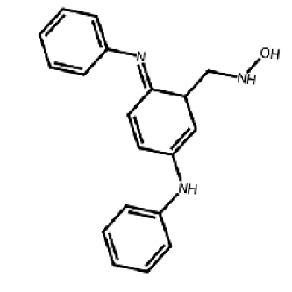 ONCC1C=C(Nc2ccccc2)C=CC1=Nc1ccccc1